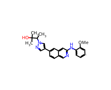 COc1c[c]ccc1Nc1cc2cc(-c3cnn(C(C)C(C)(C)O)c3)ccc2cn1